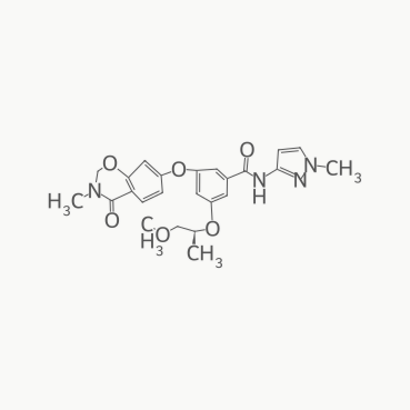 COC[C@H](C)Oc1cc(Oc2ccc3c(c2)OCN(C)C3=O)cc(C(=O)Nc2ccn(C)n2)c1